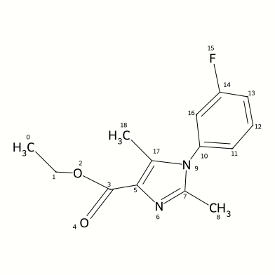 CCOC(=O)c1nc(C)n(-c2cccc(F)c2)c1C